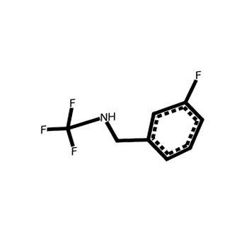 Fc1cccc(CNC(F)(F)F)c1